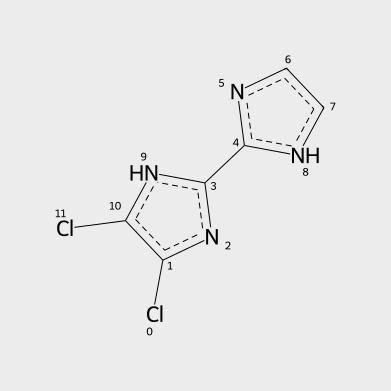 Clc1nc(-c2ncc[nH]2)[nH]c1Cl